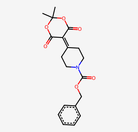 CC1(C)OC(=O)C(=C2CCN(C(=O)OCc3ccccc3)CC2)C(=O)O1